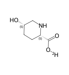 [2H]OC(=O)[C@@H]1CC[C@H](O)CN1